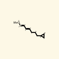 CON=CC=CCCCC1[CH]C1